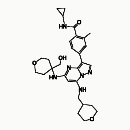 Cc1cc(-c2cnn3c(NCC4CCOCC4)cc(NC4(CO)CCOCC4)nc23)ccc1C(=O)NC1CC1